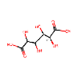 O=C(O)C(O)C(O)C(O)[C@H](O)C(=O)O